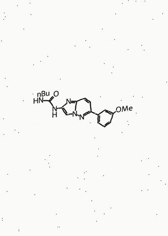 CCCCNC(=O)Nc1cn2nc(-c3cccc(OC)c3)ccc2n1